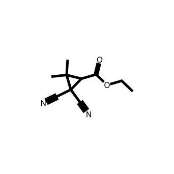 CCOC(=O)C1C(C)(C)C1(C#N)C#N